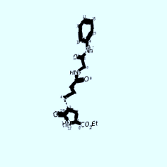 CCOC(=O)C1C[C@@H](CCCC(=O)NCC(=O)Nc2ccccc2)C(=O)N1